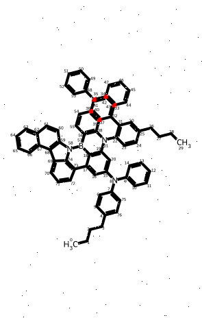 CCCCc1ccc(N(c2ccccc2)c2cc3c4c(c2)N(c2ccc(CCCC)cc2-c2ccccc2)c2cc(N(c5ccccc5)c5ccccc5)ccc2B4n2c4ccc5ccccc5c4c4cccc-3c42)cc1